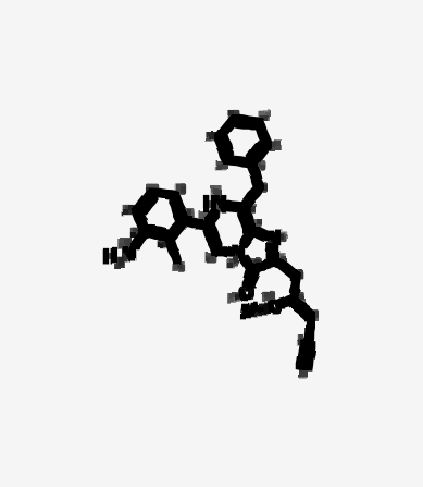 C#C/C=C(/Cc1nc2c(Cc3ccccc3)[nH]c(-c3cccc(N)c3C)cn-2c1=O)OC